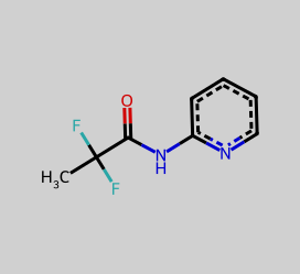 CC(F)(F)C(=O)Nc1ccccn1